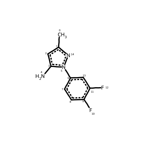 Cc1cc(N)n(-c2ccc(F)c(F)c2)n1